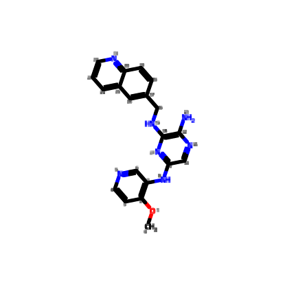 COc1ccncc1Nc1cnc(N)c(NCc2ccc3ncccc3c2)n1